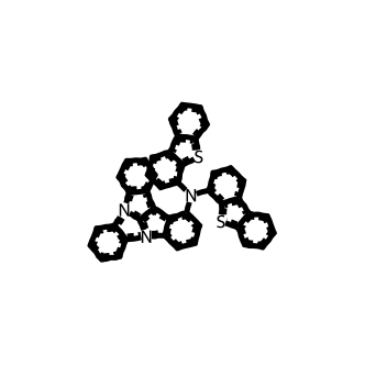 c1ccc2c(c1)sc1c(N(c3cccc4c3sc3ccccc34)c3cccc4c3c3c5ccccc5n5c6ccccc6n4c35)cccc12